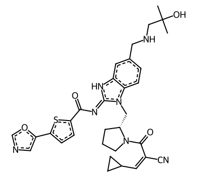 CC(C)(O)CNCc1ccc2c(c1)[nH]c(=NC(=O)c1ccc(-c3cnco3)s1)n2C[C@H]1CCCN1C(=O)C(C#N)=CC1CC1